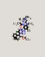 C=CC(=O)Nc1cc(Nc2ncc(F)c(/C(=C(/C)COCC(C)(C)C)c3ccccc3CCCC)n2)c(CC)cc1N(C)CCN(C)C